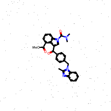 COC(=O)c1cccc2c1c(C(=O)c1ccc(Cn3c(C)nc4ccccc43)cc1)cn2C(=O)N(C)C